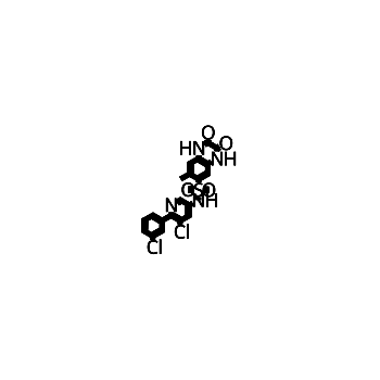 Cc1cc2[nH]c(=O)c(=O)[nH]c2cc1S(=O)(=O)Nc1cnc(-c2cccc(Cl)c2)c(Cl)c1